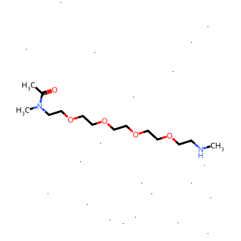 CNCCOCCOCCOCCOCCN(C)C(C)=O